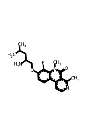 Cc1nccc2c1c(=O)n(C)c1c(F)c(OCC(N)CC(C)C)ccc21